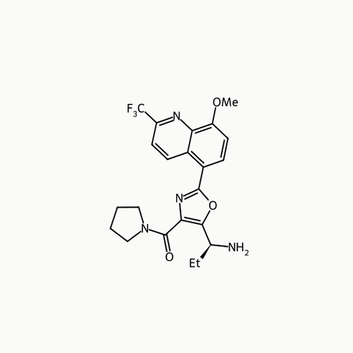 CC[C@H](N)c1oc(-c2ccc(OC)c3nc(C(F)(F)F)ccc23)nc1C(=O)N1CCCC1